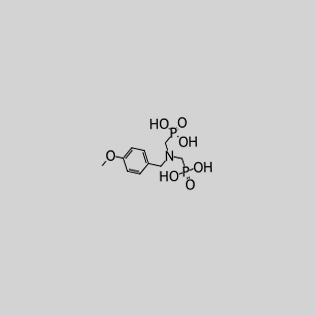 COc1ccc(CN(CP(=O)(O)O)CP(=O)(O)O)cc1